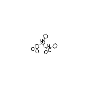 COc1ccc(-c2nn(-c3ccccc3)cc2/C=C2\N=C(c3ccccc3)OC2=O)cc1OC